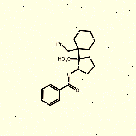 CC(C)CC1(C2(C(=O)O)CCCC2OC(=O)c2ccccc2)CCCCC1